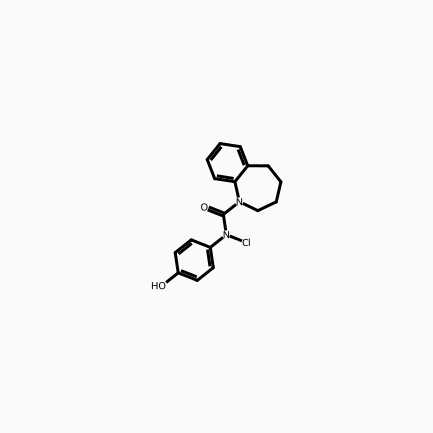 O=C(N(Cl)c1ccc(O)cc1)N1CCCCc2ccccc21